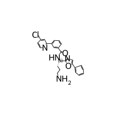 NCCC[C@H](NC(=O)c1cccc(-c2cc(Cl)ccn2)c1)c1ncc(-c2ccccc2)o1